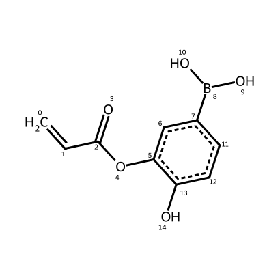 C=CC(=O)Oc1cc(B(O)O)ccc1O